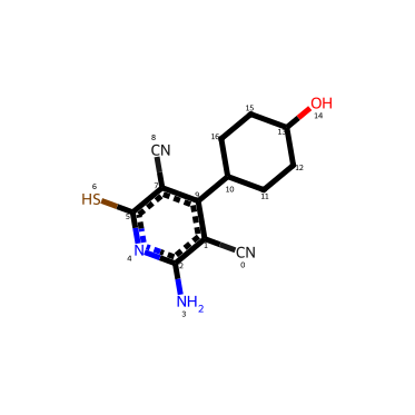 N#Cc1c(N)nc(S)c(C#N)c1C1CCC(O)CC1